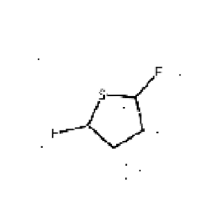 FC1CCC(F)S1